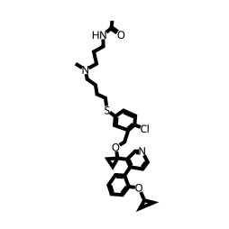 CC(=O)NCCCN(C)CCCCSc1ccc(Cl)c(COC2(c3cnccc3-c3ccccc3OC3CC3)CC2)c1